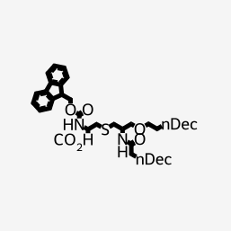 CCCCCCCCCCCCOCC(CSCC(NC(=O)OCC1c2ccccc2-c2ccccc21)C(=O)O)NC(=O)CCCCCCCCCCC